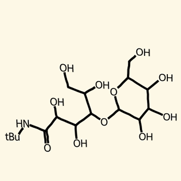 CC(C)(C)NC(=O)C(O)C(O)C(OC1OC(CO)C(O)C(O)C1O)C(O)CO